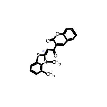 Cc1cccc2c1N(C)/C(=C\C(=O)c1cc3ccccc3oc1=O)S2